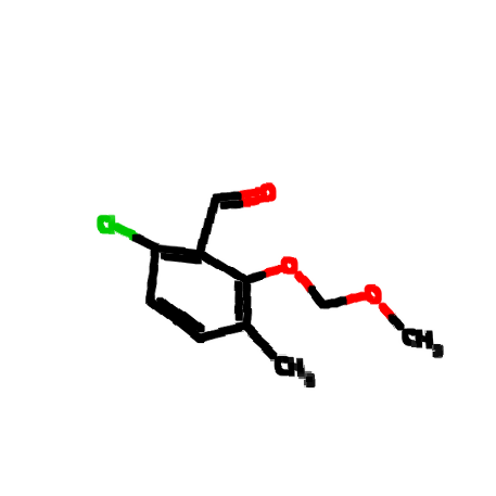 COCOc1c(C)ccc(Cl)c1C=O